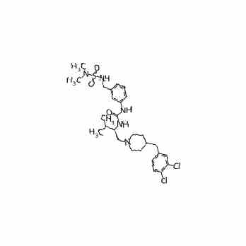 CC(C)[C@H](CN1CCC(Cc2ccc(Cl)c(Cl)c2)CC1)NC(=O)Nc1cccc(CNS(=O)(=O)N(C)C)c1